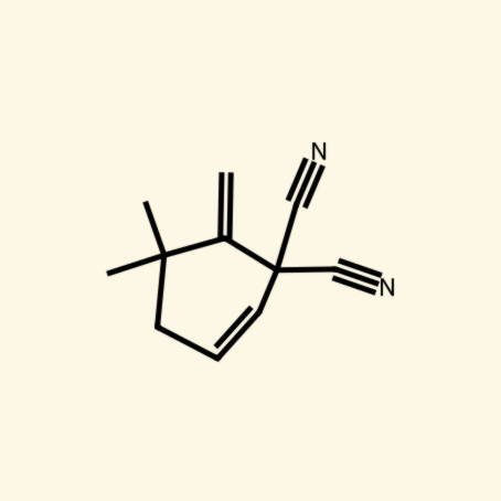 C=C1C(C#N)(C#N)C=CCC1(C)C